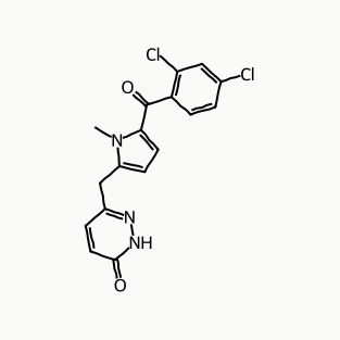 Cn1c(Cc2ccc(=O)[nH]n2)ccc1C(=O)c1ccc(Cl)cc1Cl